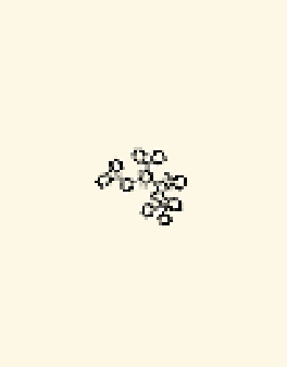 c1ccc([Si](c2ccccc2)(c2ccccc2)c2ccc3c(c2)n2c4ccccc4nc2n3-c2cc(-n3c4ccccc4c4ccccc43)nc(-c3cccc(-n4c5ccccc5c5ccccc54)c3)n2)cc1